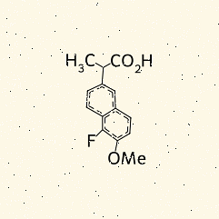 COc1ccc2cc(C(C)C(=O)O)ccc2c1F